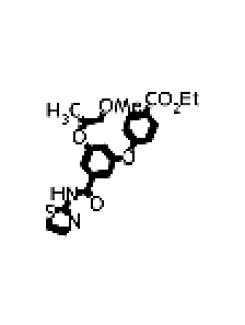 CCOC(=O)c1ccc(Oc2cc(O[C@@H](C)COC)cc(C(=O)Nc3nccs3)c2)cc1